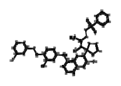 CCC(N(C)CCS(=O)(=O)c1ccccc1)C1(c2cc3c(Nc4ccc(OCc5cccc(F)c5)c(Cl)c4)ncnc3cc2F)CC=CO1